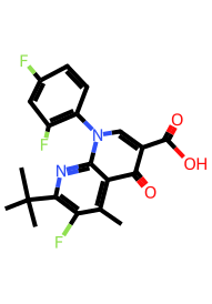 Cc1c(F)c(C(C)(C)C)nc2c1c(=O)c(C(=O)O)cn2-c1ccc(F)cc1F